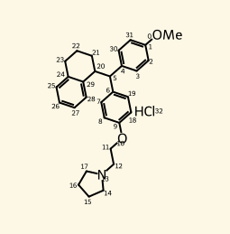 COc1ccc(C(c2ccc(OCCN3CCCC3)cc2)C2CCCc3ccccc32)cc1.Cl